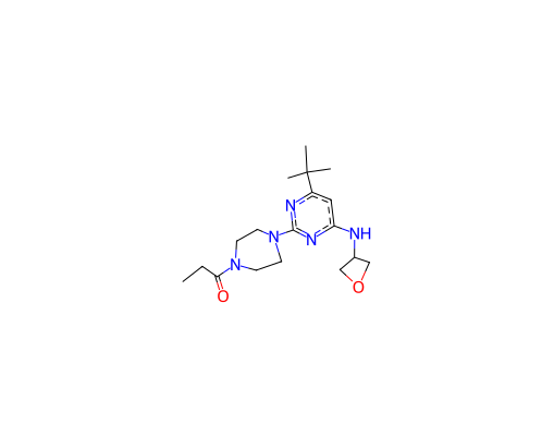 CCC(=O)N1CCN(c2nc(NC3COC3)cc(C(C)(C)C)n2)CC1